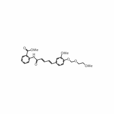 COCCOCOc1ccc(C=CC=CC(=O)Nc2ccccc2C(=O)OC)cc1OC